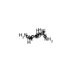 Cn1nc(NC(=O)Nc2ccc(CN3CCC(N)CC3)c(C(F)(F)F)c2)cc1-c1ccc2nc(NC3CCC(N)CC3)ncc2c1